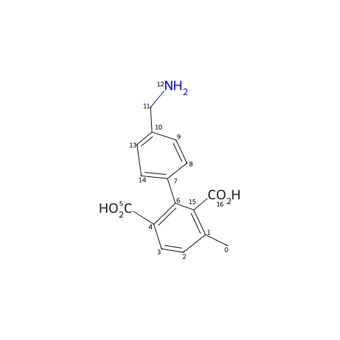 Cc1ccc(C(=O)O)c(-c2ccc(CN)cc2)c1C(=O)O